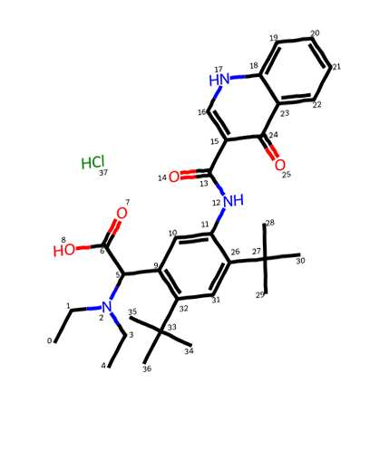 CCN(CC)C(C(=O)O)c1cc(NC(=O)c2c[nH]c3ccccc3c2=O)c(C(C)(C)C)cc1C(C)(C)C.Cl